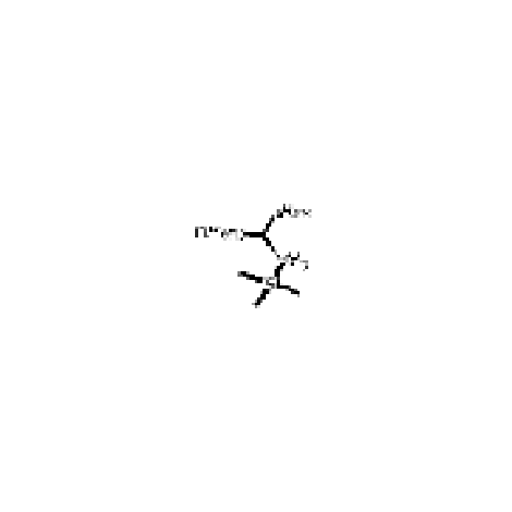 CCCCCCC(CCCCC)[SiH2][Si](C)(C)C